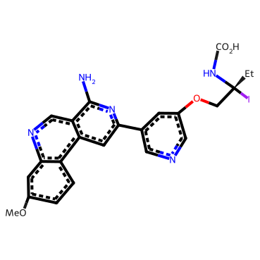 CC[C@@](I)(COc1cncc(-c2cc3c(cnc4cc(OC)ccc43)c(N)n2)c1)NC(=O)O